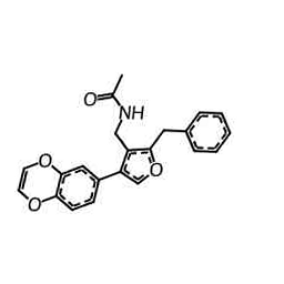 CC(=O)NCc1c(-c2ccc3c(c2)OC=CO3)coc1Cc1ccccc1